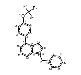 FC(F)(F)Oc1ccc(-c2cccc3c2[c]cn3Cc2ccccc2)cc1